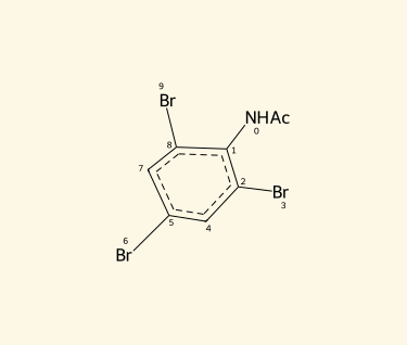 CC(=O)Nc1c(Br)cc(Br)cc1Br